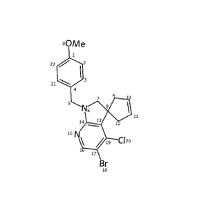 COc1ccc(CN2CC3(CC=CC3)c3c2ncc(Br)c3Cl)cc1